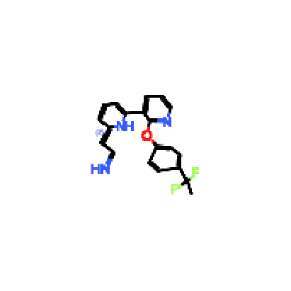 CC(F)(F)c1ccc(Oc2ncccc2C2=CC=C/C(=C/C=N)N2)cc1